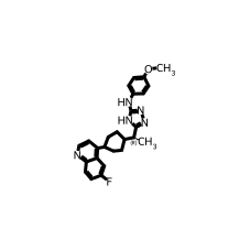 COc1ccc(Nc2nnc([C@H](C)C3CCC(c4ccnc5ccc(F)cc45)CC3)[nH]2)cc1